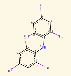 Ic1cc(I)c(Nc2c(I)cc(I)cc2I)c(I)c1